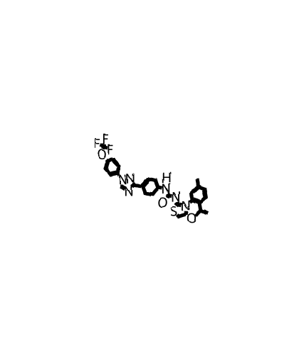 Cc1ccc(C(C)C)c(N2C(=O)CS/C2=N\C(=O)NC2CC=C(c3ncn(-c4ccc(OC(F)(F)F)cc4)n3)CC2)c1